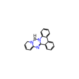 B1N2CC=CC=C2N=C2c3ccccc3-c3ccccc3N12